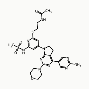 CC(=O)NCCSc1cc(N2CCc3c(-c4cnc(N)nc4)nc(N4CCOCC4)nc32)cc(NS(C)(=O)=O)n1